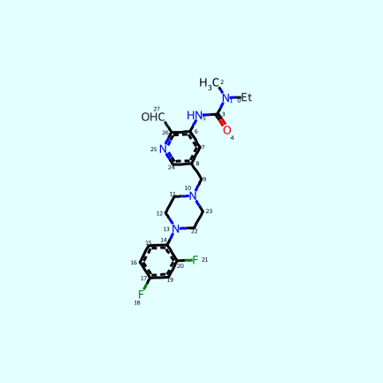 CCN(C)C(=O)Nc1cc(CN2CCN(c3ccc(F)cc3F)CC2)cnc1C=O